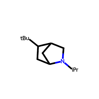 CC(C)N1CC2CC1CC2C(C)(C)C